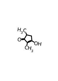 CC1=C(O)CC(C)C1=O